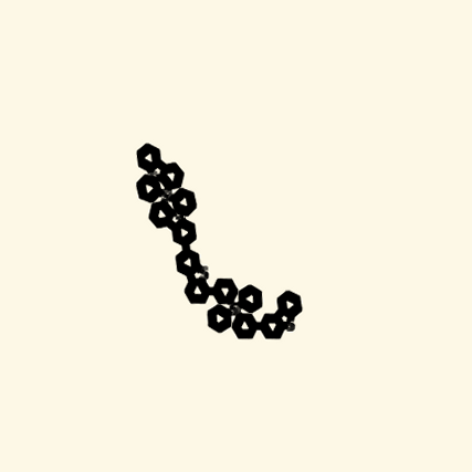 c1ccc([Si](c2ccccc2)(c2cccc(-c3ccc4sc5ccccc5c4c3)c2)c2cccc(-c3cccc4c3sc3cc(-c5ccc6sc7c([Si](c8ccccc8)(c8ccccc8)c8cccc9c8sc8ccccc89)cccc7c6c5)ccc34)c2)cc1